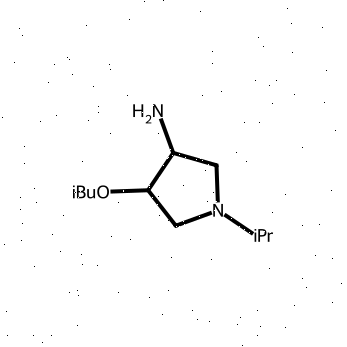 CC(C)COC1CN(C(C)C)CC1N